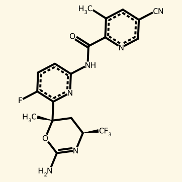 Cc1cc(C#N)cnc1C(=O)Nc1ccc(F)c([C@]2(C)C[C@@H](C(F)(F)F)N=C(N)O2)n1